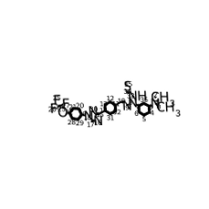 CN(C)c1cccc(N(N=Cc2ccc(-c3ncn(-c4ccc(OC(F)(F)F)cc4)n3)cc2)NC=S)c1